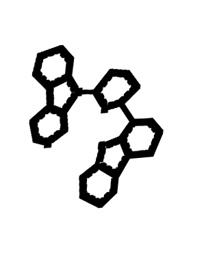 c1cc(-c2cccc3c2oc2ccccc23)nc(-n2c3ccccc3c3ccncc32)c1